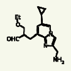 CCOCC(C=O)Cc1cc(C2CC2)cn2cc(CN)nc12